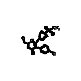 CS(=O)(=O)c1ccc(-c2oc(C=O)cc(=O)c2-c2ccc(Cl)cc2)cc1